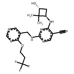 CC1(C)[C@H](O)C[C@H]1Nc1nc(NCc2cncnc2OCCC(F)(F)F)ncc1C#N